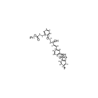 CC(C)OC(=O)CCc1ccccc1OCCC(O)/C=C/c1cccc(NS(=O)(=O)c2ccc(F)cc2)c1